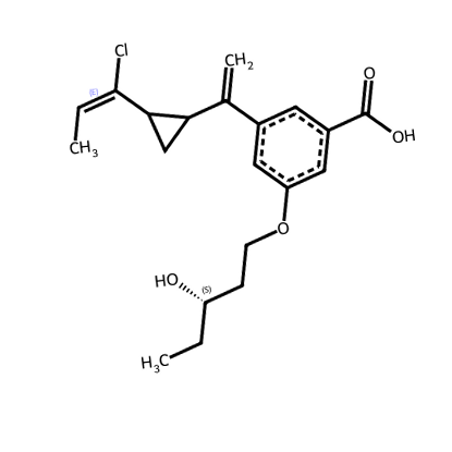 C=C(c1cc(OCC[C@@H](O)CC)cc(C(=O)O)c1)C1CC1/C(Cl)=C\C